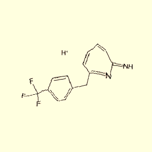 N=c1ccccc(Cc2ccc(C(F)(F)F)cc2)n1.[H+]